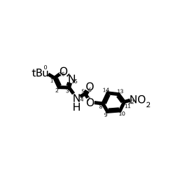 CC(C)(C)c1cc(NC(=O)Oc2ccc([N+](=O)[O-])cc2)no1